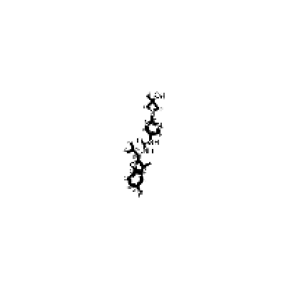 Cc1c([C@@H](NC(=O)Nc2cnc(N3CC(C)(O)C3)nc2)C(C)C)oc2ccc(F)cc12